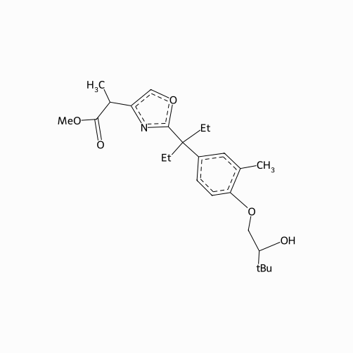 CCC(CC)(c1ccc(OCC(O)C(C)(C)C)c(C)c1)c1nc(C(C)C(=O)OC)co1